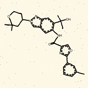 Cc1cccc(-c2nc(C(=O)Nc3cc4cn(C5CCOC(C)(C)C5)nc4cc3C(C)(C)O)co2)c1